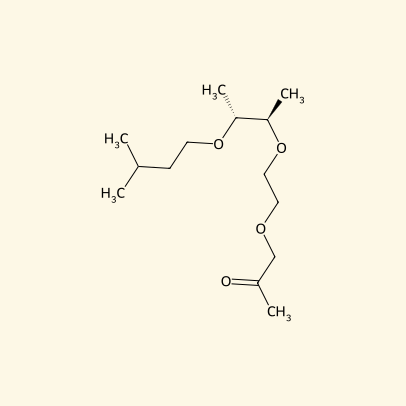 CC(=O)COCCO[C@H](C)[C@@H](C)OCCC(C)C